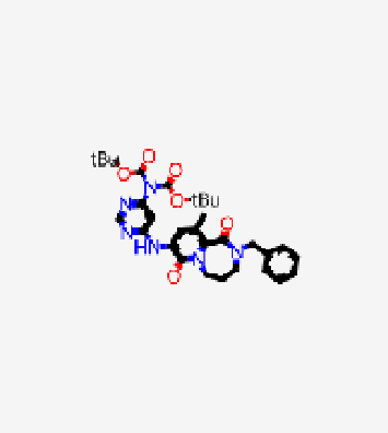 Cc1cc(Nc2cc(N(C(=O)OC(C)(C)C)C(=O)OC(C)(C)C)ncn2)c(=O)n2c1C(=O)N(Cc1ccccc1)CCC2